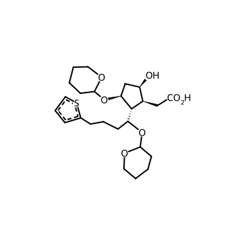 O=C(O)C[C@H]1[C@H](C(CCCc2cccs2)OC2CCCCO2)[C@@H](OC2CCCCO2)C[C@H]1O